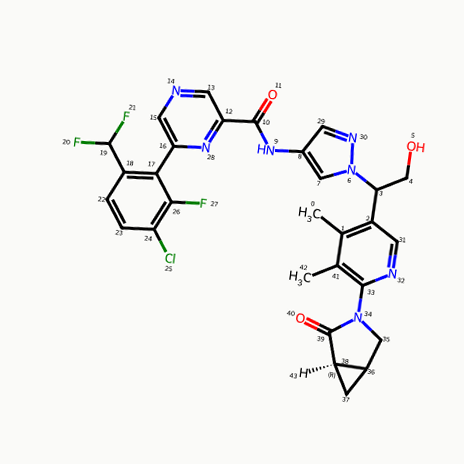 Cc1c(C(CO)n2cc(NC(=O)c3cncc(-c4c(C(F)F)ccc(Cl)c4F)n3)cn2)cnc(N2CC3C[C@H]3C2=O)c1C